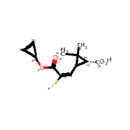 CC1(C)C(/C=C(/F)C(=O)OC2CC2)[C@H]1C(=O)O